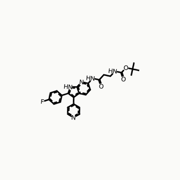 CC(C)(C)OC(=O)NCCC(=O)Nc1ccc2c(-c3ccncc3)c(-c3ccc(F)cc3)[nH]c2n1